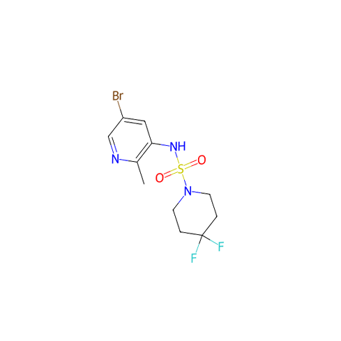 Cc1ncc(Br)cc1NS(=O)(=O)N1CCC(F)(F)CC1